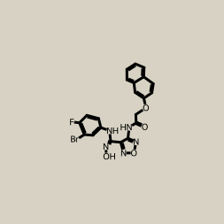 O=C(COc1ccc2ccccc2c1)Nc1nonc1/C(=N\O)Nc1ccc(F)c(Br)c1